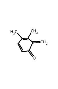 C=C1C(=O)C=CC(C)=C1C